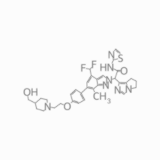 Cc1c(-c2ccc(OCCN3CCC(CO)CC3)cc2)cc(C(F)F)c2cn(C(C(=O)Nc3nccs3)c3ncn4c3CCC4)nc12